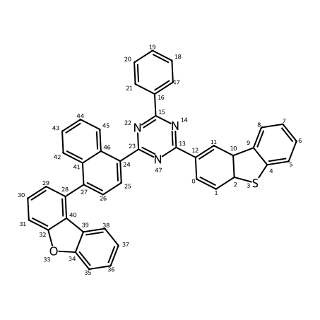 C1=CC2Sc3ccccc3C2C=C1c1nc(-c2ccccc2)nc(-c2ccc(-c3cccc4oc5ccccc5c34)c3ccccc23)n1